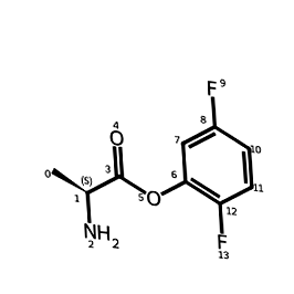 C[C@H](N)C(=O)Oc1cc(F)ccc1F